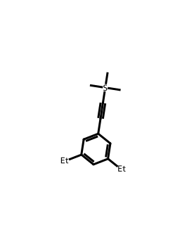 CCc1cc(C#CS(C)(C)C)cc(CC)c1